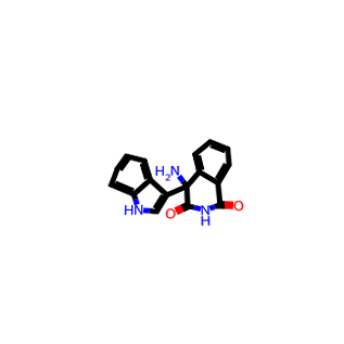 NC1(c2c[nH]c3ccccc23)C(=O)NC(=O)c2ccccc21